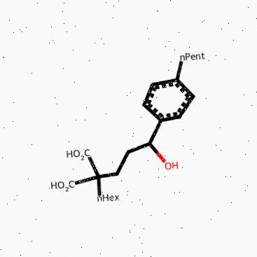 CCCCCCC(CCC(O)c1ccc(CCCCC)cc1)(C(=O)O)C(=O)O